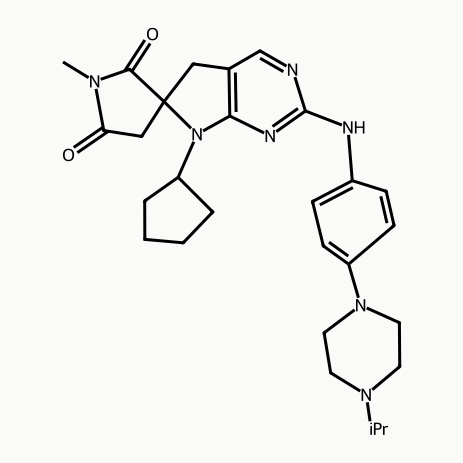 CC(C)N1CCN(c2ccc(Nc3ncc4c(n3)N(C3CCCC3)C3(CC(=O)N(C)C3=O)C4)cc2)CC1